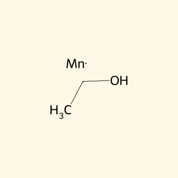 CCO.[Mn]